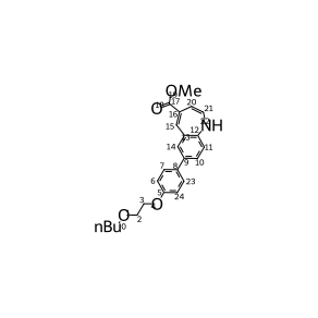 CCCCOCCOc1ccc(-c2ccc3c(c2)C=C(C(=O)OC)C=CN3)cc1